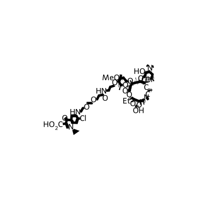 CC[C@H]1OC(=O)[C@H](C)[C@@H](O[C@H]2C[C@@](C)(OC)[C@@H](OCCCNC(=O)CCOCCOCCNc3cc4c(=O)c(C(=O)O)cn(C5CC5)c4cc3Cl)[C@H](C)O2)[C@H](C)[C@@H](O[C@@H]2O[C@H](C)C[C@H](N(C)C)[C@H]2O)[C@](C)(O)C[C@@H](C)CN(C)[C@H](C)[C@H]2O[C@H](O)O[C@@]21C